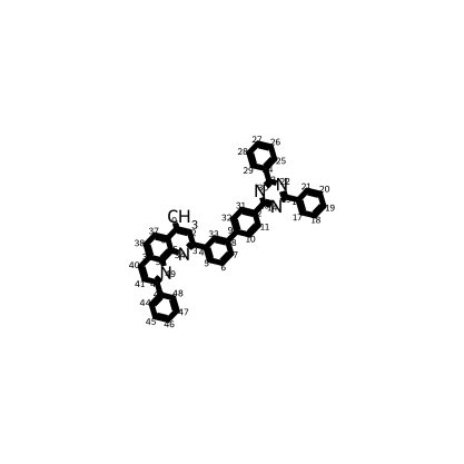 Cc1cc(-c2cccc(-c3ccc(-c4nc(-c5ccccc5)nc(-c5ccccc5)n4)cc3)c2)nc2c1ccc1ccc(-c3ccccc3)nc12